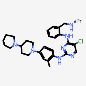 Cc1cc(N2CCC(N3CCCCC3)CC2)ccc1Nc1ncc(Cl)c(Nc2ccccc2CNC(C)C)n1